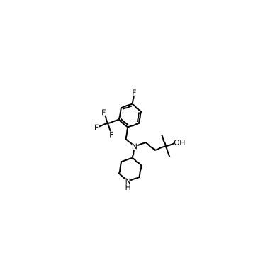 CC(C)(O)CCN(Cc1ccc(F)cc1C(F)(F)F)C1CCNCC1